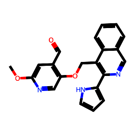 COc1cc(C=O)c(OCc2c(-c3ccc[nH]3)ncc3ccccc23)cn1